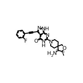 C[C@@H]1OCC2(CCN(c3nc4[nH]nc(C#Cc5ccccc5F)c4c(=O)[nH]3)CC2)[C@@H]1N